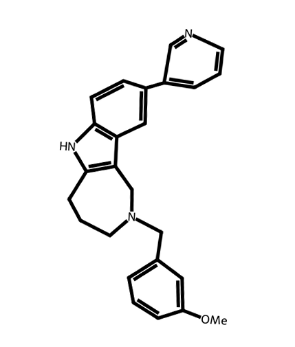 COc1cccc(CN2CCCc3[nH]c4ccc(-c5cccnc5)cc4c3C2)c1